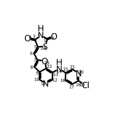 O=C1NC(=O)C(=Cc2cc3cncc(Nc4ccc(Cl)nc4)c3o2)S1